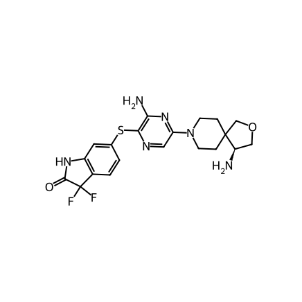 Nc1nc(N2CCC3(CC2)COC[C@H]3N)cnc1Sc1ccc2c(c1)NC(=O)C2(F)F